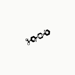 O=[N+]([O-])c1ccc(N2CCN(c3ccccn3)CC2)nc1